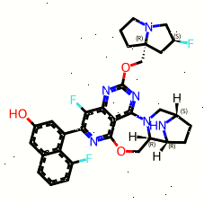 Oc1cc(-c2nc3c4c(nc(OC[C@]56CCCN5C[C@@H](F)C6)nc4c2F)N2C[C@@H]4CC[C@@H](N4)[C@@H]2CO3)c2c(F)cccc2c1